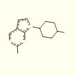 OC1CCC(n2ccc3cnc(Cl)nc32)CC1